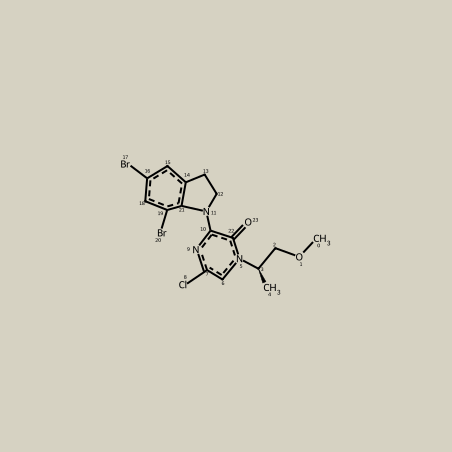 COC[C@@H](C)n1cc(Cl)nc(N2CCc3cc(Br)cc(Br)c32)c1=O